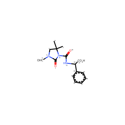 CC1(C)CN(C=O)C(=O)N1C(=O)NC(C(=O)O)c1ccccc1